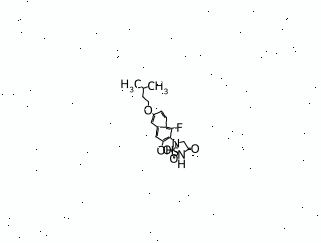 CC(C)CCOc1ccc2c(F)c(N3CC(=O)NS3(=O)=O)c(O)cc2c1